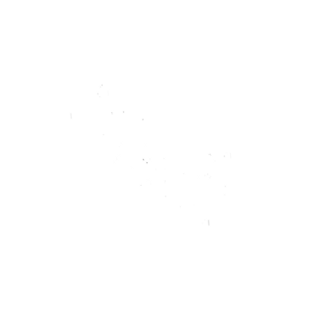 CCc1ccc(S(=O)(=O)N(CC)Sc2ccc(C(C)C)cc2)cc1C(=O)OC